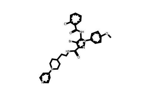 COc1ccc(-n2nc(C(=O)NCCC3CCN(c4ccncc4)CC3)c(Br)c2NC(=O)c2ccccc2Cl)cc1